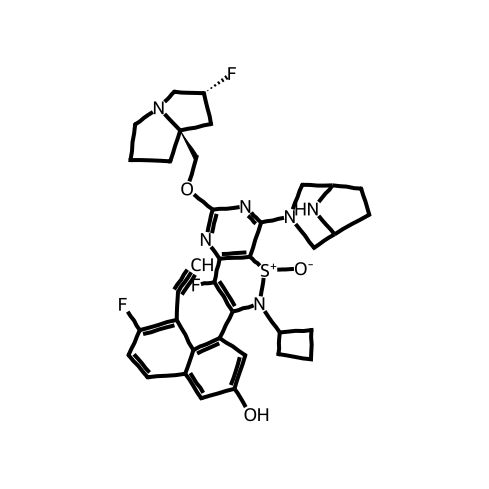 C#Cc1c(F)ccc2cc(O)cc(C3=C(F)c4nc(OC[C@@]56CCCN5C[C@H](F)C6)nc(N5CC6CCC(C5)N6)c4[S+]([O-])N3C3CCC3)c12